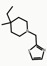 CCC1(C)CCN(Cc2nccs2)CC1